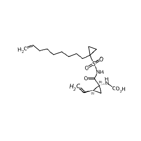 C=CCCCCCCCC1(S(=O)(=O)NC(=O)[C@@]2(NC(=O)O)C[C@H]2C=C)CC1